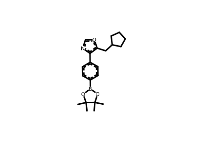 CC1(C)OB(c2ccc(-c3ncoc3C[C]3CCCC3)cc2)OC1(C)C